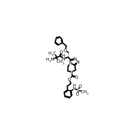 CC(C)(N)C(=O)N[C@H](COCc1ccccc1)c1nnc2n1CCN(C(=O)OCCc1ccccc1NS(C)(=O)=O)C2